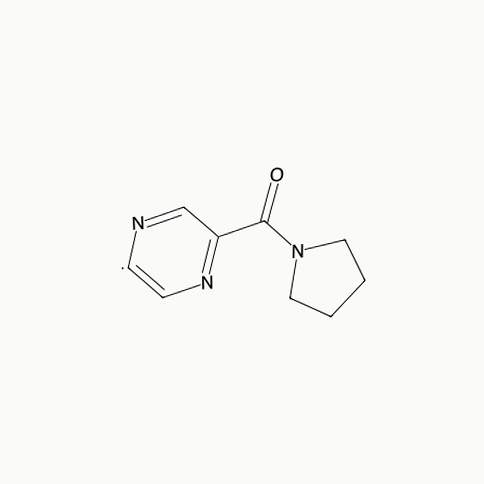 O=C(c1cn[c]cn1)N1CCCC1